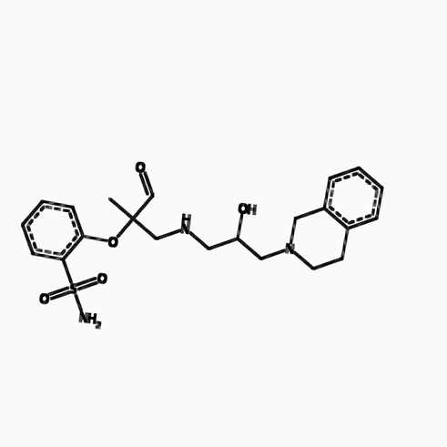 CC(C=O)(CNCC(O)CN1CCc2ccccc2C1)Oc1ccccc1S(N)(=O)=O